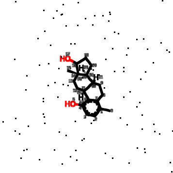 Cc1ccc(O)c2c1CC[C@@H]1[C@@H]2CC[C@]2(C)C(O)CC[C@@H]12